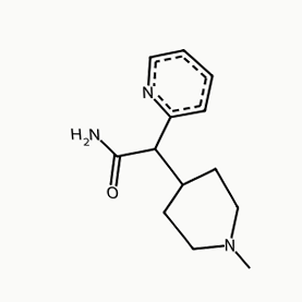 CN1CCC(C(C(N)=O)c2ccccn2)CC1